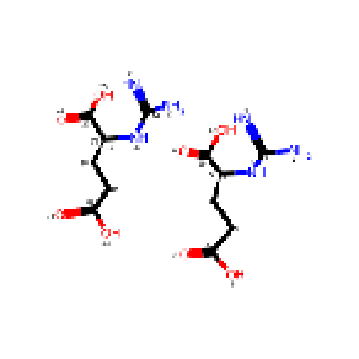 N=C(N)N[C@@H](CCC(=O)O)C(=O)O.N=C(N)N[C@@H](CCC(=O)O)C(=O)O